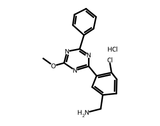 COc1nc(-c2ccccc2)nc(-c2cc(CN)ccc2Cl)n1.Cl